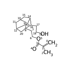 C=C(C)C(=O)OCCC12CC3CC(CC(C3)C1CCO)C2